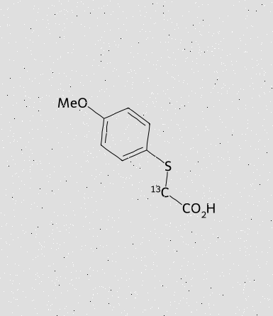 COc1ccc(S[13CH2][13C](=O)O)cc1